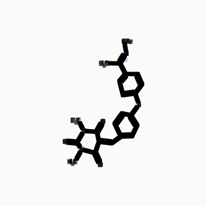 CC(=O)O/N=C(\C)c1ccc(Sc2ccc(C=C3C(=O)N(C)C(=O)N(C)C3=O)cc2)cc1